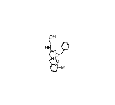 O=C(CN(Cc1cccc(Br)n1)C(=O)OCc1ccccc1)NCCO